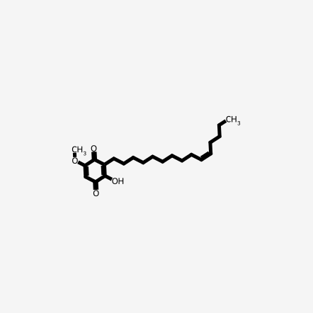 CCCC/C=C\CCCCCCCCCC1=C(O)C(=O)C=C(OC)C1=O